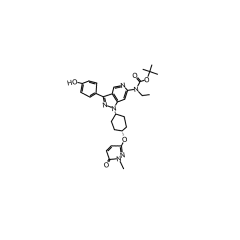 CCN(C(=O)OC(C)(C)C)c1cc2c(cn1)c(-c1ccc(O)cc1)nn2[C@H]1CC[C@@H](Oc2ccc(=O)n(C)n2)CC1